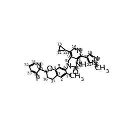 Cc1cc2c(cc1N1Cc3c(C4CC4)cnc(-c4cnn(C)c4)c3NC1=O)OC(c1ncccc1F)CC2